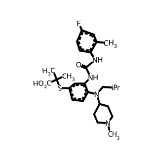 Cc1cc(F)ccc1NC(=O)Nc1cc(SC(C)(C)C(=O)O)ccc1N(CC(C)C)C1CCN(C)CC1